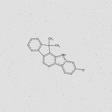 CC1(C)c2ccccc2-c2ccc3c([nH]c4cc(Cl)ccc43)c21